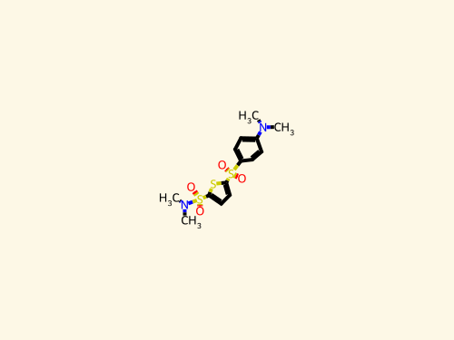 CN(C)c1ccc(S(=O)(=O)c2ccc(S(=O)(=O)N(C)C)s2)cc1